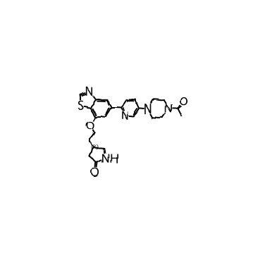 CC(=O)N1CCN(c2ccc(-c3cc(OCC[C@H]4CNC(=O)C4)c4scnc4c3)nc2)CC1